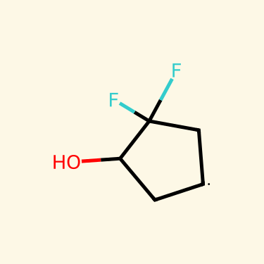 OC1C[CH]CC1(F)F